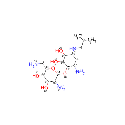 CC(C)CNC1CC(N)C(OC2OC(CN)C(O)C(O)C2N)C(O)C1O